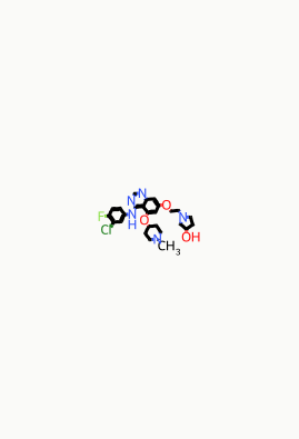 CN1CCC(Oc2cc(OCCN3CCC(O)C3)cc3ncnc(Nc4ccc(F)c(Cl)c4)c23)CC1